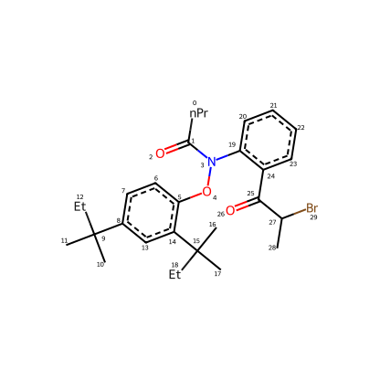 CCCC(=O)N(Oc1ccc(C(C)(C)CC)cc1C(C)(C)CC)c1ccccc1C(=O)C(C)Br